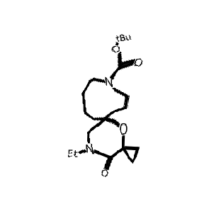 CCN1CC2(CCCN(C(=O)OC(C)(C)C)CC2)OC2(CC2)C1=O